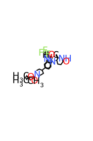 C=C1NC(=O)CCC1n1c(=O)n(CC(F)(F)F)c2cc(C3CCN(C(=O)OC(C)(C)C)CC3)ccc21